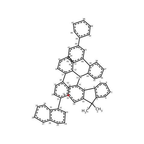 CC1(C)c2ccccc2-c2c(N(c3ccccc3-c3ccc(-c4cccc5ccccc45)cc3)c3ccccc3-c3cccc(-c4ccccc4)c3)cccc21